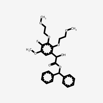 COCCOc1c(C(O)C(=O)OC(c2ccccc2)c2ccccc2)cc(OC)c(F)c1OCCOC